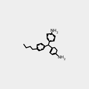 CCCCc1ccc(C(C2=CC=C(N)CC2)c2ccc(N)cc2)cc1